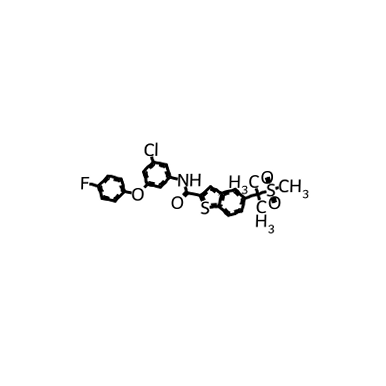 CC(C)(c1ccc2sc(C(=O)Nc3cc(Cl)cc(Oc4ccc(F)cc4)c3)cc2c1)S(C)(=O)=O